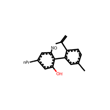 C=C(C)c1ccc(C)cc1-c1c(O)cc(CCC)cc1N=O